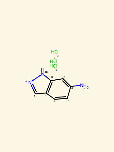 Cl.Cl.Cl.Nc1ccc2cn[nH]c2c1